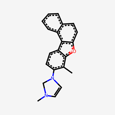 Cc1c(N2C=CN(C)C2)ccc2c1oc1ccc3ccccc3c12